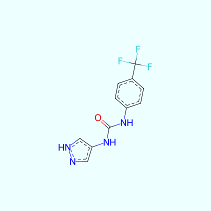 O=C(Nc1ccc(C(F)(F)F)cc1)Nc1cn[nH]c1